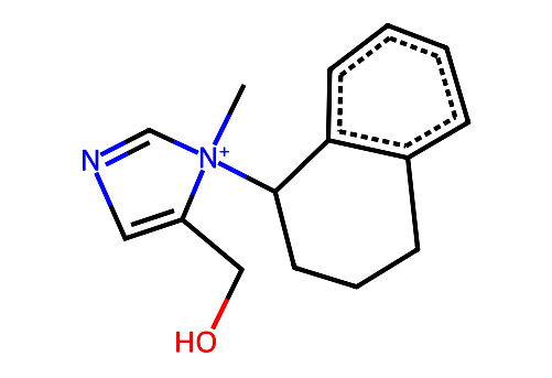 C[N+]1(C2CCCc3ccccc32)C=NC=C1CO